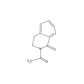 C=C1c2ccccc2CCN1C(=O)C(F)(F)F